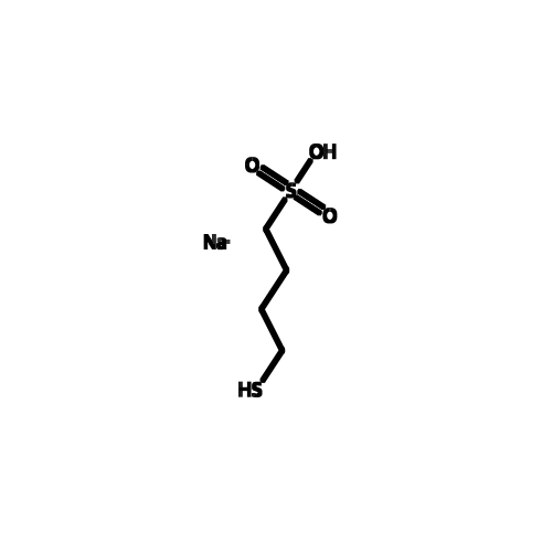 O=S(=O)(O)CCCCS.[Na]